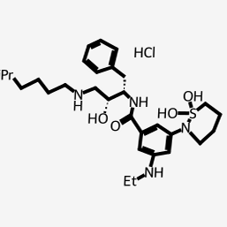 CCNc1cc(C(=O)N[C@@H](Cc2ccccc2)[C@H](O)CNCCCCC(C)C)cc(N2CCCCS2(O)O)c1.Cl